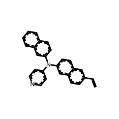 C=Cc1ccc2cc(N(c3ccncc3)c3ccc4ccccc4c3)ccc2c1